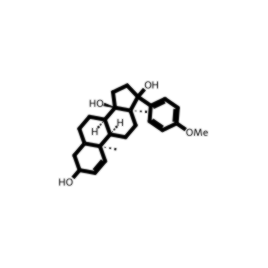 COc1ccc(C2(O)CC[C@@]3(O)[C@@H]4CCC5CC(O)C=C[C@]5(C)[C@@H]4CC[C@]23C)cc1